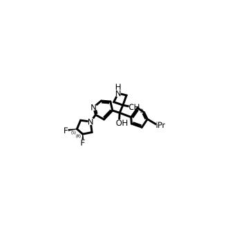 CC(C)c1ccc(C(O)(c2ccnc(N3C[C@@H](F)[C@@H](F)C3)c2)C2(C)CNC2)cc1